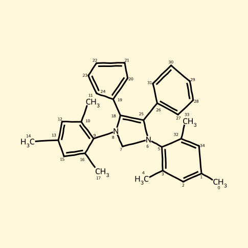 Cc1cc(C)c(N2CN(c3c(C)cc(C)cc3C)C(c3ccccc3)=C2c2ccccc2)c(C)c1